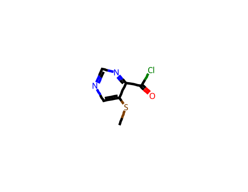 CSc1cncnc1C(=O)Cl